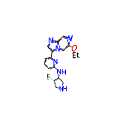 CCOc1cn2c(-c3cccc(N[C@H]4CNC[C@@H]4F)n3)cnc2cn1